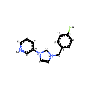 Fc1ccc(CN2C=CN(c3cccnc3)C2)cc1